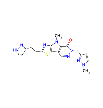 Cn1ccc(Cn2ncc3c4sc(CCc5cc[nH]n5)nc4n(C)c3c2=O)n1